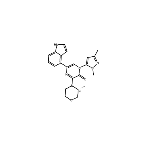 Cc1cc(-n2cc(-c3cccc4[nH]ccc34)nc(N3CCOC[C@H]3C)c2=O)n(C)n1